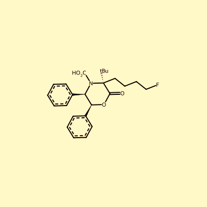 CC(C)(C)[C@]1(CCCCF)C(=O)O[C@@H](c2ccccc2)[C@@H](c2ccccc2)N1C(=O)O